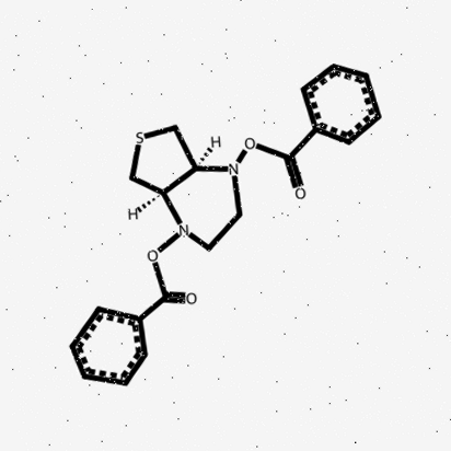 O=C(ON1CCN(OC(=O)c2ccccc2)[C@H]2CSC[C@H]21)c1ccccc1